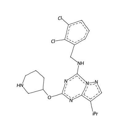 CC(C)c1cnn2c(NCc3cccc(Cl)c3Cl)nc(OC3CCCNC3)nc12